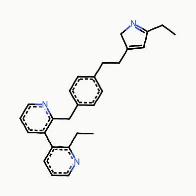 CCC1=NCC(CCc2ccc(Cc3ncccc3-c3cccnc3CC)cc2)=C1